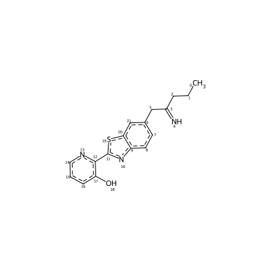 CCCC(=N)Cc1ccc2nc(-c3ncccc3O)sc2c1